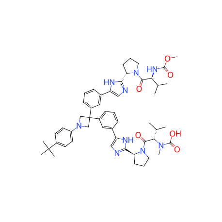 COC(=O)N[C@H](C(=O)N1CCC[C@H]1c1ncc(-c2cccc(C3(c4cccc(-c5cnc([C@@H]6CCCN6C(=O)[C@H](C(C)C)N(C)C(=O)O)[nH]5)c4)CN(c4ccc(C(C)(C)C)cc4)C3)c2)[nH]1)C(C)C